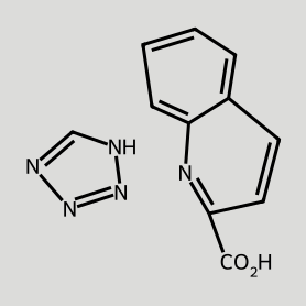 O=C(O)c1ccc2ccccc2n1.c1nnn[nH]1